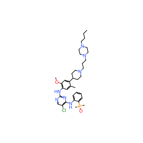 CCCCN1CCN(CCCN2CCC(c3cc(OC)c(Nc4ncc(Cl)c(Nc5ccccc5P(C)(C)=O)n4)cc3C)CC2)CC1